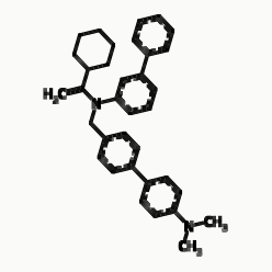 C=C(C1CCCCC1)N(Cc1ccc(-c2ccc(N(C)C)cc2)cc1)c1cccc(-c2ccccc2)c1